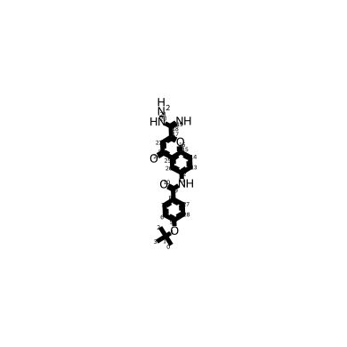 CC(C)(C)Oc1ccc(C(=O)Nc2ccc3oc(C(=N)NN)cc(=O)c3c2)cc1